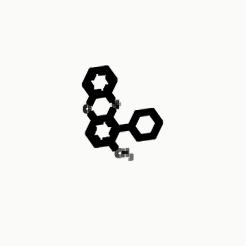 Cc1ccc2c(c1C1CCCCC1)[N]c1ccccc1O2